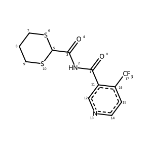 O=C(NC(=O)C1SCCCS1)c1cnccc1C(F)(F)F